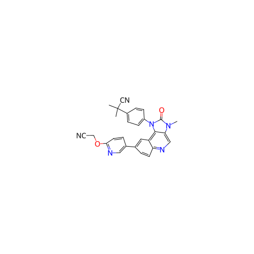 Cn1c(=O)n(-c2ccc(C(C)(C)C#N)cc2)c2c3cc(-c4ccc(OCC#N)nc4)ccc3ncc21